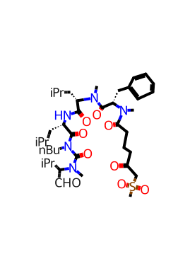 CCCCN(C(=O)[C@H](CC(C)C)NC(=O)[C@H](CC(C)C)N(C)C(=O)[C@H](Cc1ccccc1)N(C)C(=O)CCCC(=O)CS(C)(=O)=O)C(=O)N(C)C(C=O)C(C)C